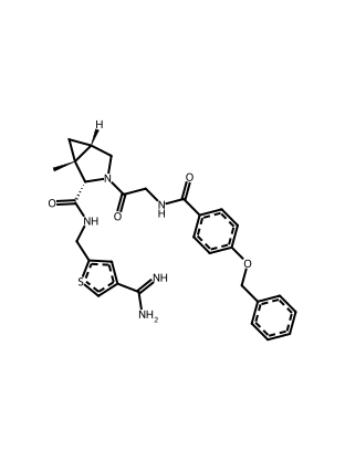 C[C@@]12C[C@@H]1CN(C(=O)CNC(=O)c1ccc(OCc3ccccc3)cc1)[C@@H]2C(=O)NCc1cc(C(=N)N)cs1